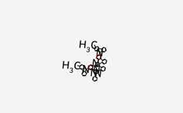 Cc1ccc2c(c1)c1ccccc1n2-c1ccc(-c2cc(-c3ccccc3-c3nc(-c4ccccc4)nc(-c4ccccc4)n3)c(-c3ccccc3-c3ccccc3)c(-c3ccc(-n4c5ccccc5c5cc(C)ccc54)cc3)n2)cc1